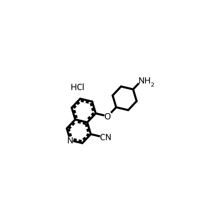 Cl.N#Cc1cncc2cccc(OC3CCC(N)CC3)c12